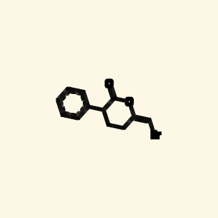 O=C1OC(=CBr)CCC1c1ccccc1